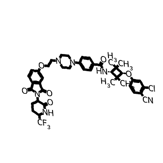 CC1(C)[C@H](NC(=O)c2ccc(N3CCN(CCOc4ccc5c(c4)C(=O)N(C4CCC(C(F)(F)F)NC4=O)C5=O)CC3)cc2)C(C)(C)[C@H]1Oc1ccc(C#N)c(Cl)c1